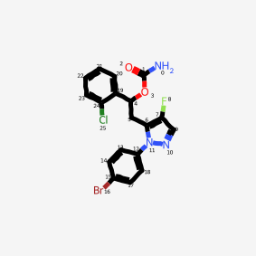 NC(=O)OC(Cc1c(F)cnn1-c1ccc(Br)cc1)c1ccccc1Cl